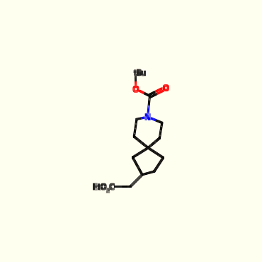 CCOC(=O)CC1CCC2(CCN(C(=O)OC(C)(C)C)CC2)C1